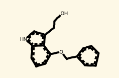 OCCc1c[nH]c2cccc(OCc3ccccc3)c12